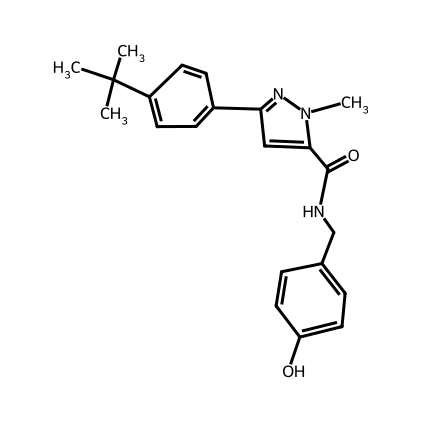 Cn1nc(-c2ccc(C(C)(C)C)cc2)cc1C(=O)NCc1ccc(O)cc1